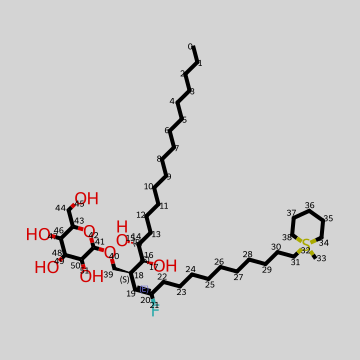 CCCCCCCCCCCCCC[C@@H](O)[C@@H](O)[C@@H](/C=C(/F)CCCCCCCCCCS1(C)CCCCC1)COC1OC(CO)C(O)C(O)C1O